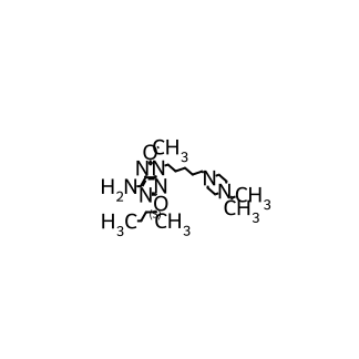 CCC[C@H](C)Oc1nc(N)c2nc(OC)n(CCCCCN3CCN(C(C)C)CC3)c2n1